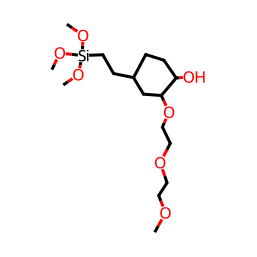 COCCOCCOC1CC(CC[Si](OC)(OC)OC)CCC1O